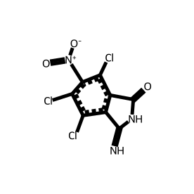 N=C1NC(=O)c2c(Cl)c([N+](=O)[O-])c(Cl)c(Cl)c21